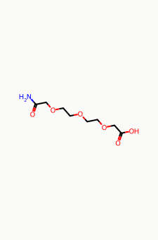 NC(=O)COCCOCCOCC(=O)O